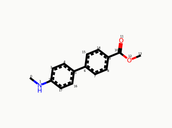 CNc1ccc(-c2ccc(C(=O)OC)cc2)cc1